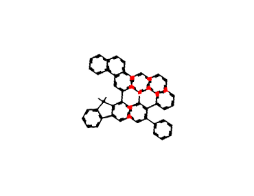 CC1(C)c2ccccc2-c2cccc(-c3cc4c(ccc5ccccc54)cc3N(c3ccccc3)c3cccc(-c4ccccc4)c3-c3ccccc3-c3ccccc3)c21